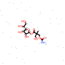 CC(CO)(COC(N)=O)C(=O)OC1O[C@H](C(O)CO)[C@H](O)[C@@H]1O